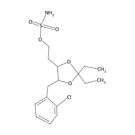 CCC1(CC)OC(CCOS(N)(=O)=O)C(Cc2ccccc2Cl)O1